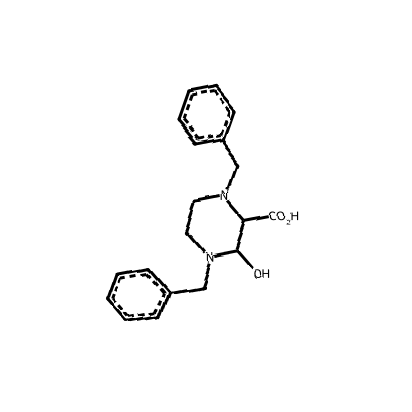 O=C(O)C1C(O)N(Cc2ccccc2)CCN1Cc1ccccc1